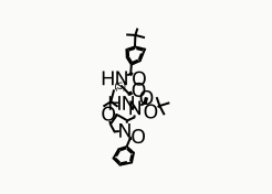 CC(C)C[C@H](NC(=O)c1ccc(C(C)(C)C)cc1)C(=O)NN(CC1C2OC2CN1C(=O)c1ccccc1)C(=O)OC(C)(C)C